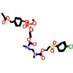 COP(=O)(OCCOC(=O)N(C)CCN(C)C(=O)OCCS(=O)(=O)c1ccc(Cl)cc1)Oc1ccc(COC(C)=O)cc1